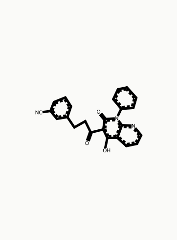 N#Cc1cccc(CCC(=O)c2c(O)c3cccnc3n(-c3ccccc3)c2=O)c1